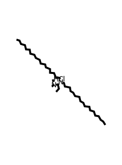 CCCCCCCCCCCCCCCCCCN(CCCCCCCCCCCCCCCCCC)C(CC)N(C)C.Cl